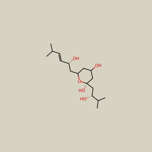 CC(C)/C=C/[C@H](O)CC1CC(O)C[C@@](O)(C[C@@H](O)C(C)C)O1